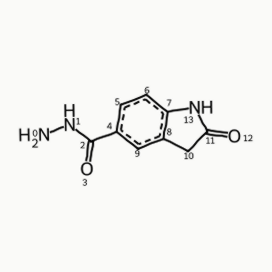 NNC(=O)c1ccc2c(c1)CC(=O)N2